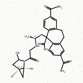 C[C@@H](CC1(C(=N)N)c2ccc(C(N)=O)cc2CCc2cc(C(N)=O)ccc21)NCC(=O)N1C(C#N)C[C@@H]2C[C@@H]21